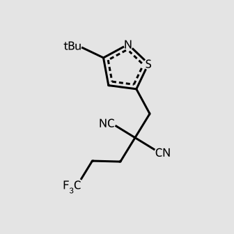 CC(C)(C)c1cc(CC(C#N)(C#N)CCC(F)(F)F)sn1